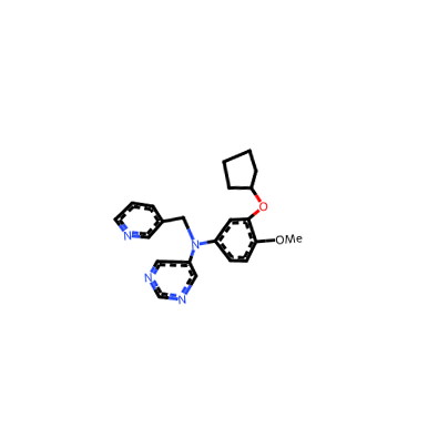 COc1ccc(N(Cc2cccnc2)c2cncnc2)cc1OC1CCCC1